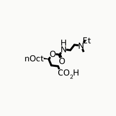 CCCCCCCC[C@H](CCC(=O)O)OC(=O)NCCN(C)CC